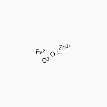 [Cr+3].[Fe+2].[O-2].[Zn+2]